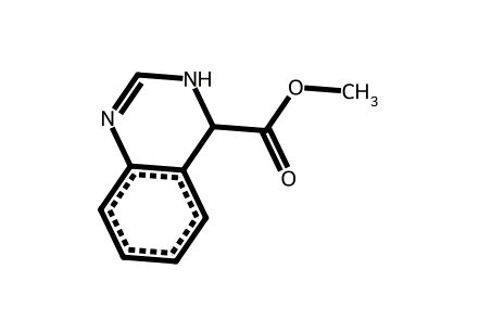 COC(=O)C1NC=Nc2ccccc21